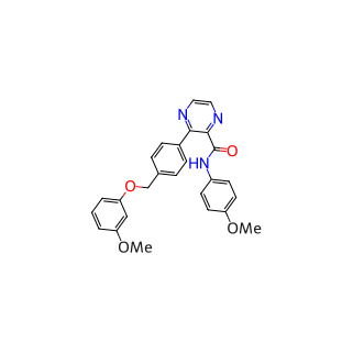 COc1ccc(NC(=O)c2nccnc2-c2ccc(COc3cccc(OC)c3)cc2)cc1